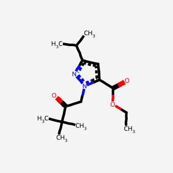 CCOC(=O)c1cc(C(C)C)nn1CC(=O)C(C)(C)C